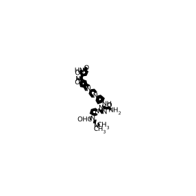 CN(C)CCN(C=O)C1CCCN(c2cnc(C(N)=O)c(Nc3ccc(N4CCC(N5Cc6cc7onc(C8CCC(=O)NC8=O)c7cc6C5)CC4)cc3)n2)C1